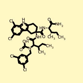 CCC(C)C(C(=O)N[C@]1(C(=O)N[C@H](C(N)=O)[C@@H](C)CC)CCc2[nH]c3c(Cl)cc(Cl)cc3c2C1)N(Cc1cc(Cl)cc(Cl)c1)C(=O)O